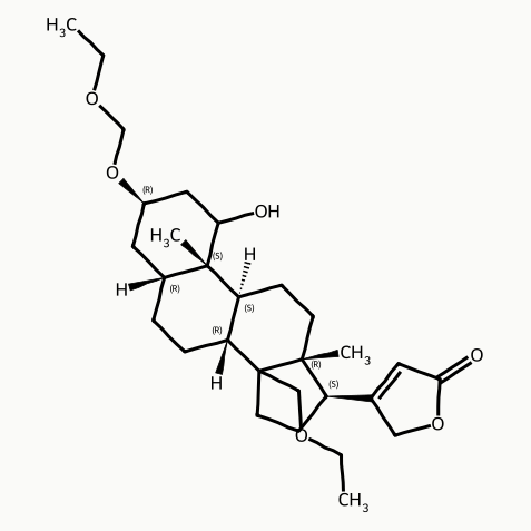 CCOCO[C@H]1CC(O)[C@@]2(C)[C@H](CC[C@@H]3[C@@H]2CC[C@]2(C)[C@@H](C4=CC(=O)OC4)CCC32COCC)C1